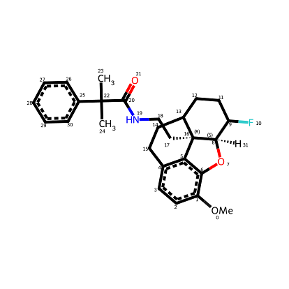 COc1ccc2c3c1O[C@@H]1C(F)CCC(CC2)[C@]31CCNC(=O)C(C)(C)c1ccccc1